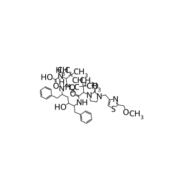 COCc1nc(CN2CCN(C(C(=O)NC(Cc3ccccc3)C(O)CC(Cc3ccccc3)NC(=O)C(N(C)C(=O)O)C(C)(C)C)C(C)(C)C)C2=O)cs1